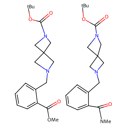 CNC(=O)c1ccccc1CN1CC2(C1)CN(C(=O)OC(C)(C)C)C2.COC(=O)c1ccccc1CN1CC2(C1)CN(C(=O)OC(C)(C)C)C2